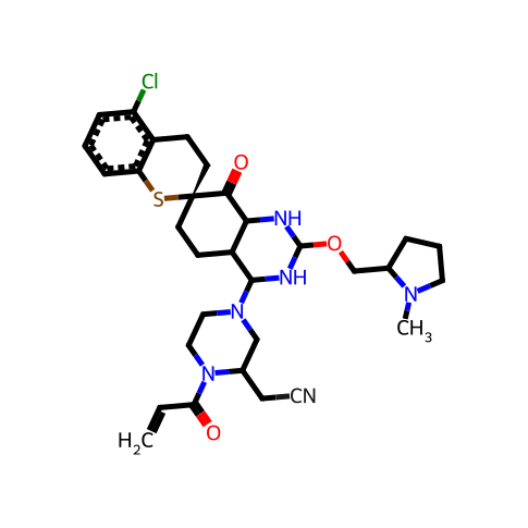 C=CC(=O)N1CCN(C2NC(OCC3CCCN3C)NC3C(=O)[C@]4(CCc5c(Cl)cccc5S4)CCC32)CC1CC#N